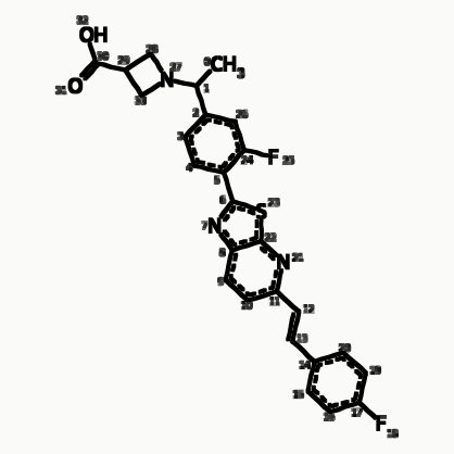 CC(c1ccc(-c2nc3ccc(C=Cc4ccc(F)cc4)nc3s2)c(F)c1)N1CC(C(=O)O)C1